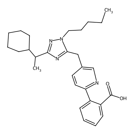 CCCCCn1nc(C(C)C2CCCCC2)nc1Cc1ccc(-c2ccccc2C(=O)O)nc1